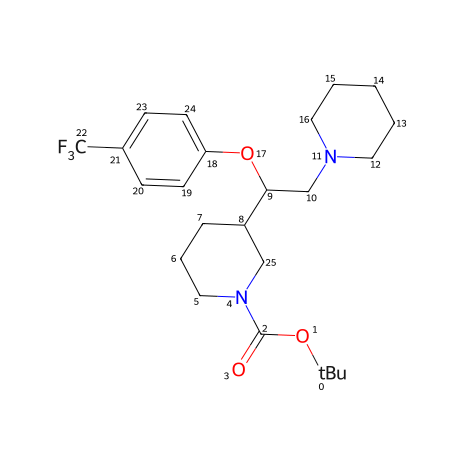 CC(C)(C)OC(=O)N1CCCC(C(CN2CCCCC2)Oc2ccc(C(F)(F)F)cc2)C1